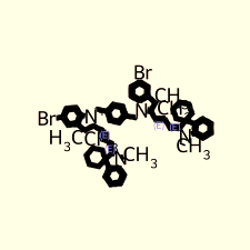 CN1/C(=C/C=C/C2=[N+](Cc3ccc(C[N+]4=C(/C=C/C=C5/N(C)c6ccccc6C56CCCCC6)C(C)(C)c5cc(Br)ccc54)cc3)c3ccc(Br)cc3C2(C)C)C2(CCCCC2)c2ccccc21